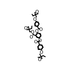 CCC1(COC(=O)c2cc(OC(=O)c3ccc(OCC4(CC)COC4)cc3)ccc2OC(=O)c2ccc(OCC3(CC)COC3)cc2)COC1